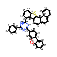 C1=CC2=CC=C3C=Cc4c(sc5cccc(-c6nc(-c7ccccc7)nc(-c7ccc8c(c7)oc7ccccc78)n6)c45)C3C2C=C1